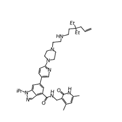 C=CCC(CC)(CC)CCNCCN1CCN(c2ccc(-c3cc(C(=O)NCc4c(C)cc(C)[nH]c4=O)c4cnn(C(C)C)c4c3)cn2)CC1